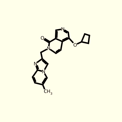 Cc1ccc2nc(Cn3ccc4c(OC5CCC5)cncc4c3=O)cn2c1